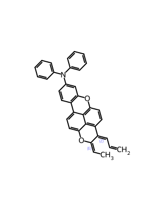 C=C/C=C1\C(=C/C)Oc2ccc3c4c(ccc1c24)Oc1cc(N(c2ccccc2)c2ccccc2)ccc1-3